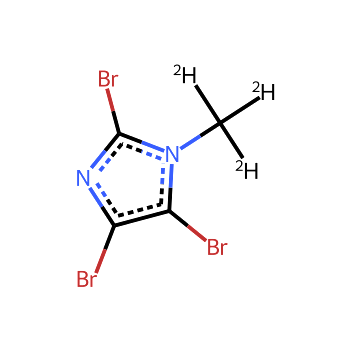 [2H]C([2H])([2H])n1c(Br)nc(Br)c1Br